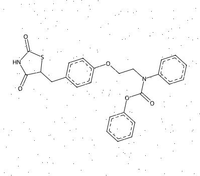 O=C1NC(=O)C(Cc2ccc(OCCN(C(=O)Oc3ccccc3)c3ccccc3)cc2)S1